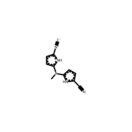 [C-]#[N+]c1ccc(B(C)c2ccc(C#N)[nH]2)[nH]1